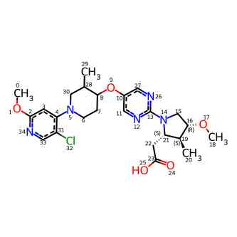 COc1cc(N2CCC(Oc3cnc(N4C[C@H](OC)[C@@H](C)[C@@H]4CC(=O)O)nc3)C(C)C2)c(Cl)cn1